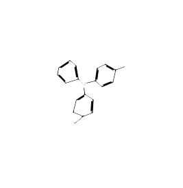 Cc1ccc(N(C2=CC[C@](C)(I)C=C2)c2ccccc2)cc1